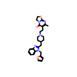 Cc1nc2n(c(=O)c1CCN1CCC(Cc3nc4ccccc4n3Cc3ccco3)CC1)CCS2